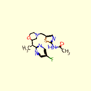 CC(=O)Nc1ncc(CN2CCOC([C@H](C)c3ncc(F)cn3)C2)s1